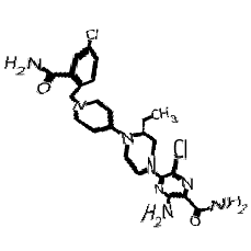 CC[C@H]1CN(c2nc(N)c(C(N)=O)nc2Cl)CCN1C1CCN(Cc2ccc(Cl)cc2C(N)=O)CC1